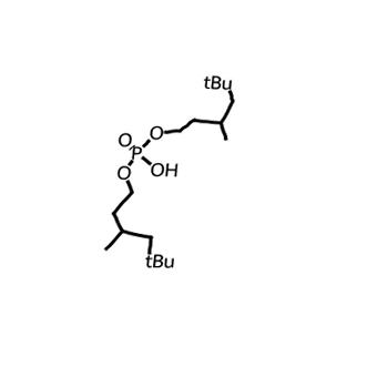 CC(CCOP(=O)(O)OCCC(C)CC(C)(C)C)CC(C)(C)C